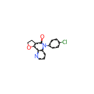 O=c1c2c(c3ncccc3n1-c1ccc(Cl)cc1)OCC2